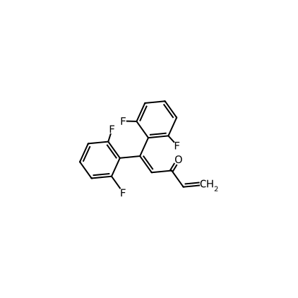 C=CC(=O)C=C(c1c(F)cccc1F)c1c(F)cccc1F